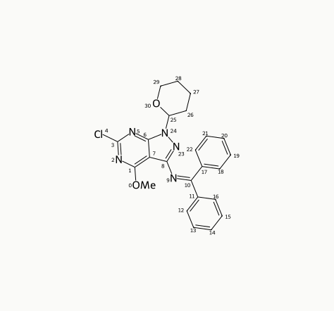 COc1nc(Cl)nc2c1c(N=C(c1ccccc1)c1ccccc1)nn2C1CCCCO1